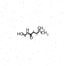 CP(C)CCC(=O)NCO